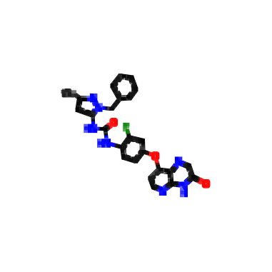 CC(C)(C)c1cc(NC(=O)Nc2ccc(Oc3ccnc4[nH]c(=O)cnc34)cc2F)n(Cc2ccccc2)n1